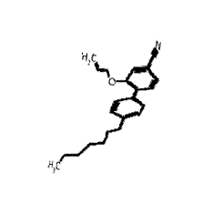 C=CCOc1cc(C#N)ccc1-c1ccc(CCCCCCC)cc1